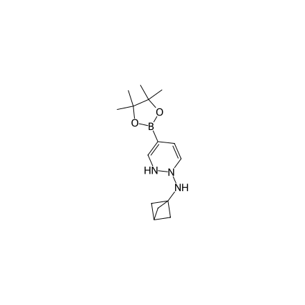 CC1(C)OB(C2=CNN(NC34CC(C3)C4)C=C2)OC1(C)C